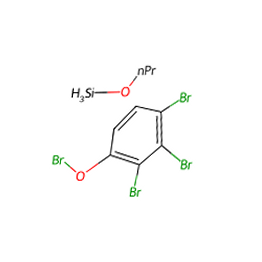 BrOc1ccc(Br)c(Br)c1Br.CCCO[SiH3]